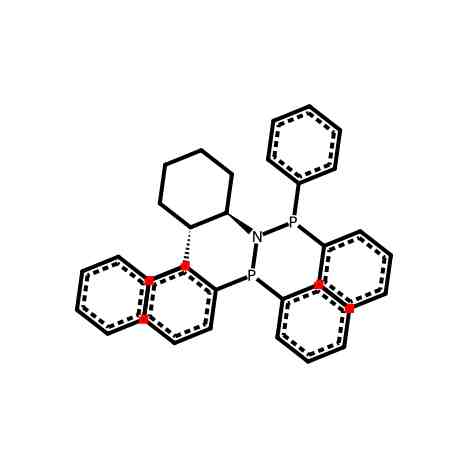 c1ccc(C[C@@H]2CCCC[C@H]2N(P(c2ccccc2)c2ccccc2)P(c2ccccc2)c2ccccc2)cc1